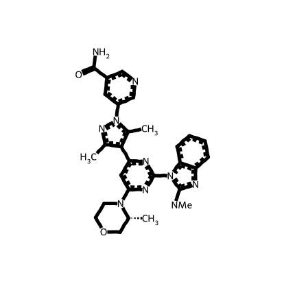 CNc1nc2ccccc2n1-c1nc(-c2c(C)nn(-c3cncc(C(N)=O)c3)c2C)cc(N2CCOC[C@H]2C)n1